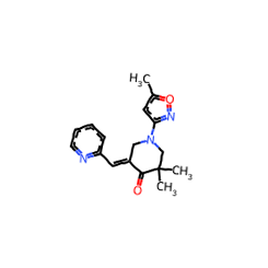 Cc1cc(N2CC(=Cc3ccccn3)C(=O)C(C)(C)C2)no1